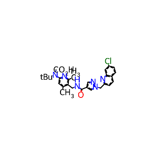 Cc1cc(N(C(=O)O)C(C)(C)C)nc(C)c1CNC(=O)c1cnn(Cc2ccc3ccc(Cl)cc3n2)c1